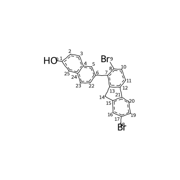 Oc1ccc2cc(-c3c(Br)ccc4c3Cc3cc(Br)ccc3-4)ccc2c1